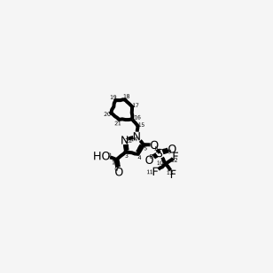 O=C(O)c1cc(OS(=O)(=O)C(F)(F)F)n(CC2CCCCC2)n1